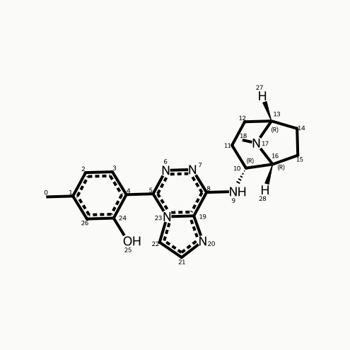 Cc1ccc(-c2nnc(N[C@@H]3CC[C@@H]4CC[C@H]3N4C)c3nccn23)c(O)c1